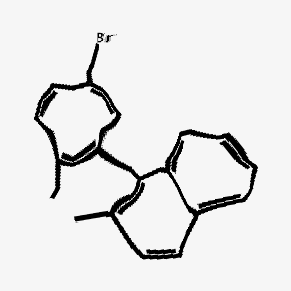 Cc1ccc(Br)cc1-c1c(C)ccc2ccccc12